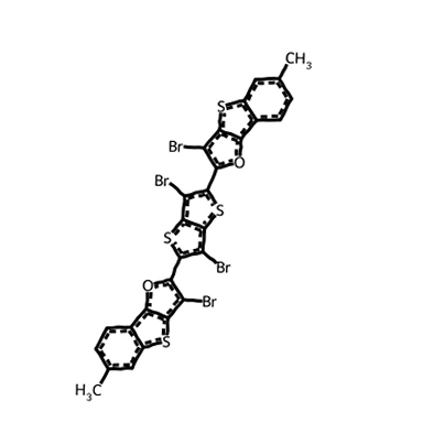 Cc1ccc2c(c1)sc1c(Br)c(-c3sc4c(Br)c(-c5oc6c(sc7cc(C)ccc76)c5Br)sc4c3Br)oc12